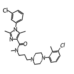 Cc1c(Cl)cccc1N1CCN(CCCN(C)C(=O)c2nc(C)n(-c3cccc(Cl)c3)c2C)CC1